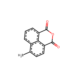 Bc1ccc2c3c(cccc13)C(=O)OC2=O